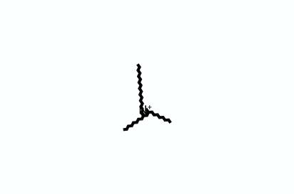 CCCCCCCCCCCCCCC[n+]1cc(CCCCCCCC)cc(CCCCCCCC)c1